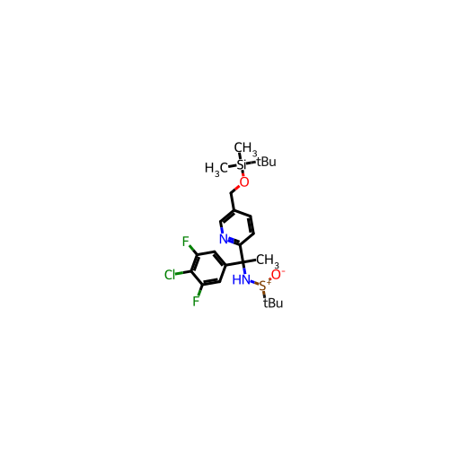 CC(N[S+]([O-])C(C)(C)C)(c1cc(F)c(Cl)c(F)c1)c1ccc(CO[Si](C)(C)C(C)(C)C)cn1